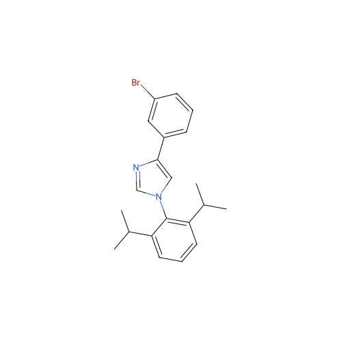 CC(C)c1cccc(C(C)C)c1-n1cnc(-c2cccc(Br)c2)c1